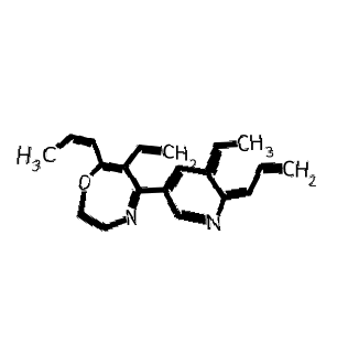 C=C/C=c1/ncc(C2=NCCOC(/C=C\C)=C2C=C)c/c1=C/C